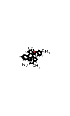 CCC(C)c1ccc2c(c1)C1(c3ccccc3-c3cccc4cccc1c34)c1cc(C)cc3c4cc(C)ccc4n-2c13